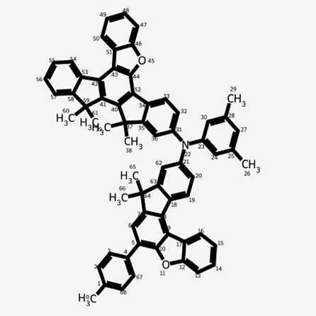 Cc1ccc(-c2cc3c(c4c2oc2ccccc24)-c2ccc(N(c4cc(C)cc(C)c4)c4ccc5c(c4)C(C)(C)c4c6c(c7c(oc8ccccc87)c4-5)-c4ccccc4C6(C)C)cc2C3(C)C)cc1